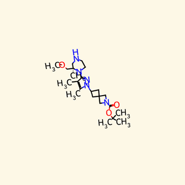 COC[C@@]1(C)CNCCN1c1nn(C2CC3(C2)CN(C(=O)OC(C)(C)C)C3)c(C)c1C